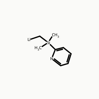 [Li][CH2][Si](C)(C)c1ccccn1